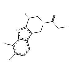 C[C@H]1CN(C(=O)CO)Cc2c1[nH]c1c(Cl)c(Cl)ccc21